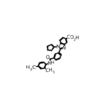 Cc1ccc(NC(=O)c2cccc(-c3nc4cc(C(=O)O)ccc4n3C3CCCC3)c2)c(C)c1